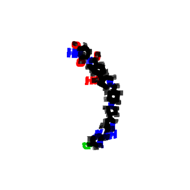 O=C1CCC(N2Cc3cc(C4(O)CCN(Cc5ccc(N6CCC(c7ccc(Nc8ncc(Cl)cn8)nc7)CC6)cc5)CC4)ccc3C2=O)C(=O)N1